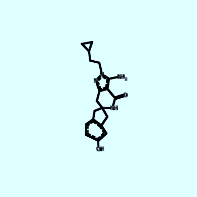 Nc1c2c(nn1CCC1CC1)CC1(Cc3ccc(O)cc3C1)NC2=O